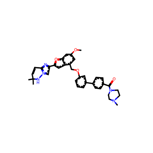 COc1cc(COc2cccc(-c3ccc(C(=O)N4CCN(C)CC4)cc3)c2)c2cc(-c3cn4c(n3)C=CC(C)(C)N4)oc2c1